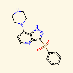 O=S(=O)(c1ccccc1)c1n[nH]c2c(N3CCNCC3)ccnc12